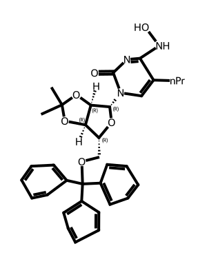 CCCc1cn([C@@H]2O[C@H](COC(c3ccccc3)(c3ccccc3)c3ccccc3)[C@H]3OC(C)(C)O[C@H]32)c(=O)nc1NO